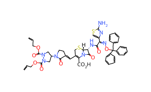 C=CCOC(=O)N1CC(N2CC/C(=C\C3=C(C(=O)O)N4C(=O)[C@@H](NC(=O)/C(=N\OC(c5ccccc5)(c5ccccc5)c5ccccc5)c5csc(N)n5)[C@H]4SC3)C2=O)CN1C(=O)OCC=C